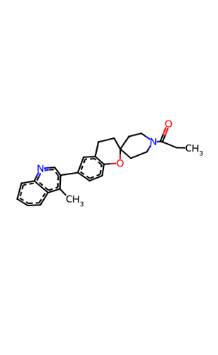 CCC(=O)N1CCC2(CCc3cc(-c4cnc5ccccc5c4C)ccc3O2)CC1